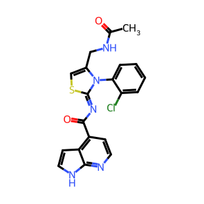 CC(=O)NCc1cs/c(=N\C(=O)c2ccnc3[nH]ccc23)n1-c1ccccc1Cl